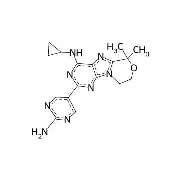 CC1(C)OCCn2c1nc1c(NC3CC3)nc(-c3cnc(N)nc3)nc12